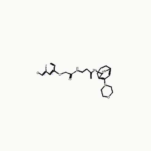 C=C/C(=C\C(F)=C\Cl)OCC(=O)NCCC(=C)NC1NC2=CC(N3CCOCC3)=C1CCC2